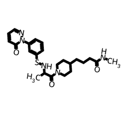 CNC(=O)CCCC1CCN(C(=O)C(C)NSc2cccc(-n3ncccc3=O)c2)CC1